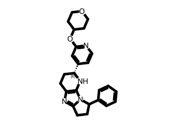 c1ccc(C2CCc3nc4c(n32)N[C@@H](c2ccnc(OC3CCOCC3)c2)CC4)cc1